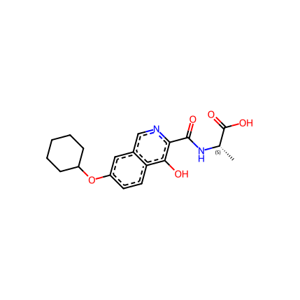 C[C@H](NC(=O)c1ncc2cc(OC3CCCCC3)ccc2c1O)C(=O)O